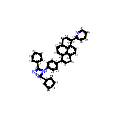 C1=C(c2ccc(-n3c(-c4ccccc4)nnc3-c3ccccc3)cc2)c2ccc3c4c(ccc(c24)C1)C(c1ccccn1)=CC3